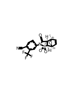 C[C@]12C=C[C@](C)(O1)[C@@H]1[C@H]2C(=O)N(c2ccc(C#N)c(C(F)(F)F)c2)S1(=O)=O